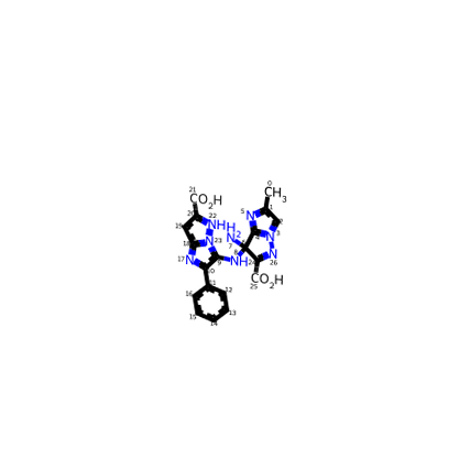 Cc1cn2c(n1)C(N)(Nc1c(-c3ccccc3)nc3cc(C(=O)O)[nH]n13)C(C(=O)O)=N2